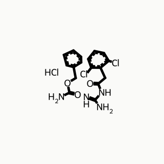 Cl.N=C(N)NC(=O)Cc1c(Cl)cccc1Cl.NC(=O)OCc1ccccc1